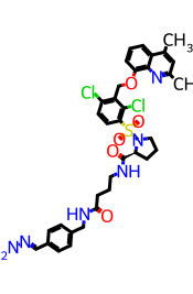 Cc1cc(C)c2cccc(OCc3c(Cl)ccc(S(=O)(=O)N4CCC[C@H]4C(=O)NCCCC(=O)NCc4ccc(C=NN)cc4)c3Cl)c2n1